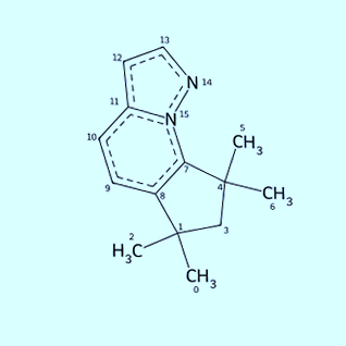 CC1(C)CC(C)(C)c2c1ccc1ccnn21